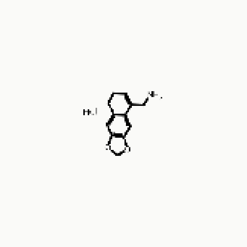 Cl.NCC1=CCCc2cc3c(cc21)OCO3